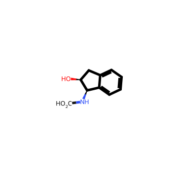 O=C(O)N[C@@H]1c2ccccc2C[C@@H]1O